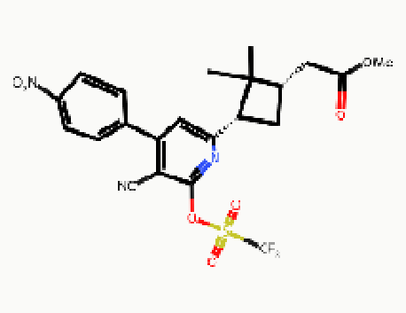 COC(=O)C[C@@H]1C[C@H](c2cc(-c3ccc([N+](=O)[O-])cc3)c(C#N)c(OS(=O)(=O)C(F)(F)F)n2)C1(C)C